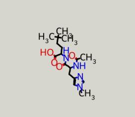 CC(=O)NC(Cc1cn(C)cn1)C(=O)NC(CCC(C)(C)C)C(=O)O